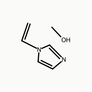 C=Cn1ccnc1.CO